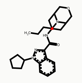 CCCCN1C2COCC1CC(NC(=O)c1nn(C3CCCC3)c3ccccc13)C2